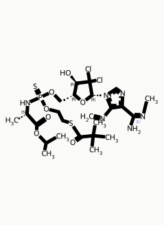 C=Nc1c(/C(N)=N\C)ncn1[C@@H]1O[C@H](COP(=S)(N[C@@H](C)C(=O)OC(C)C)OCCSC(=O)C(C)(C)C)[C@@H](O)C1(Cl)Cl